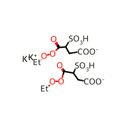 CCOOC(=O)C(CC(=O)[O-])S(=O)(=O)O.CCOOC(=O)C(CC(=O)[O-])S(=O)(=O)O.[K+].[K+]